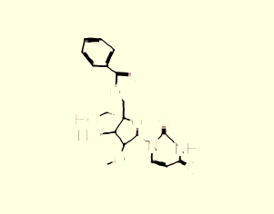 COC1C(O)[C@](CO)(COC(=O)c2ccccc2)O[C@H]1n1ccc(=O)[nH]c1=O